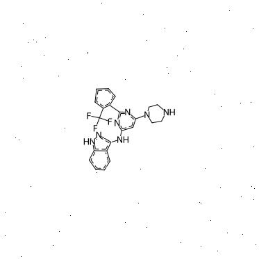 FC(F)(F)c1ccccc1-c1nc(Nc2n[nH]c3ccccc23)cc(N2CCNCC2)n1